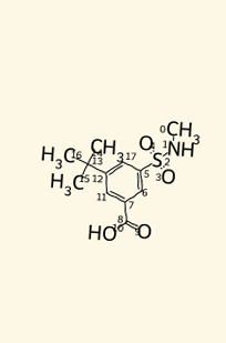 CNS(=O)(=O)c1cc(C(=O)O)cc(C(C)(C)C)c1